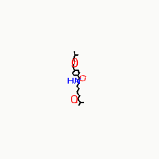 CC(C)COCc1ccc(C(=O)NCCCCCC(=O)C(C)C)cc1